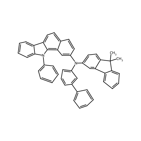 CC1(C)c2ccccc2-c2cc(N(c3cccc(-c4ccccc4)c3)c3ccc4ccc5c6ccccc6n(-c6ccccc6)c5c4c3)ccc21